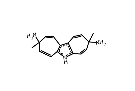 CC1(N)C=Cc2[nH]c3c(c2C=C1)C=CC(C)(N)C=C3